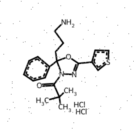 CC(C)(C)C(=O)N1N=C(c2ccsc2)OC1(CCCN)c1ccccc1.Cl.Cl